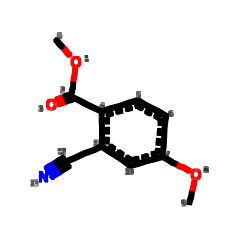 COC(=O)c1ccc(OC)cc1C#N